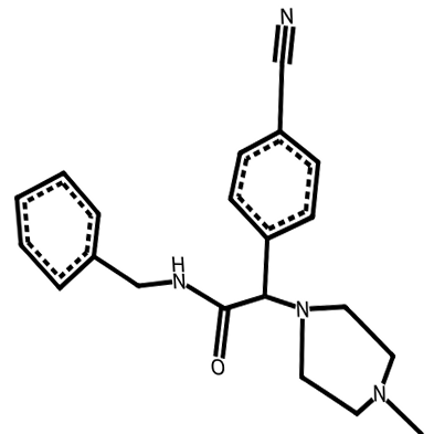 CN1CCN(C(C(=O)NCc2ccccc2)c2ccc(C#N)cc2)CC1